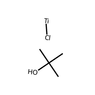 CC(C)(C)O.[Cl][Ti]